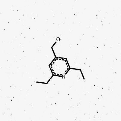 CCc1cc(C[O])cc(CC)n1